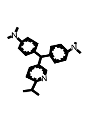 CC(C)c1ccc(C(c2ccc(N(C)C)cc2)c2ccc(N(C)C)cc2)cn1